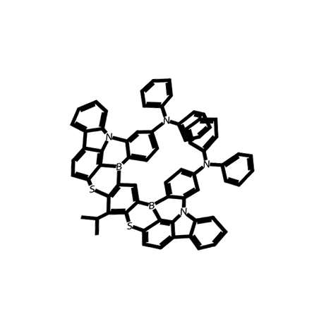 CC(C)c1c2c(cc3c1Sc1ccc4c5ccccc5n5c4c1B3c1ccc(N(c3ccccc3)c3ccccc3)cc1-5)B1c3ccc(N(c4ccccc4)c4ccccc4)cc3-n3c4ccccc4c4ccc(c1c43)S2